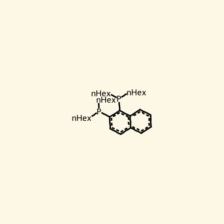 CCCCCCP(CCCCCC)c1ccc2ccccc2c1P(CCCCCC)CCCCCC